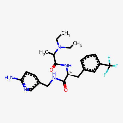 CCN(CC)C(C)C(=O)N[C@@H](Cc1cccc(C(F)(F)F)c1)C(=O)NCc1ccc(N)nc1